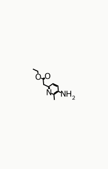 CCOC(=O)Cc1ccc(N)c(C)n1